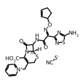 N#C[S-].Nc1nc(C(=NOC2C=CCC2)C(=O)NC2C(=O)N3C(C(=O)O)=C(C[n+]4ccccc4)CS[C@@H]23)ns1